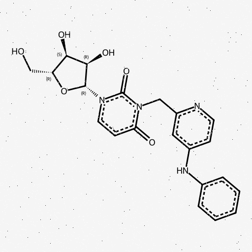 O=c1ccn([C@@H]2O[C@H](CO)[C@@H](O)[C@H]2O)c(=O)n1Cc1cc(Nc2ccccc2)ccn1